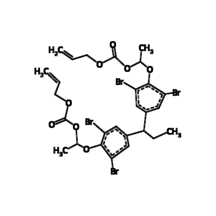 C=CCOC(=O)OC(C)Oc1c(Br)cc(C(CC)c2cc(Br)c(OC(C)OC(=O)OCC=C)c(Br)c2)cc1Br